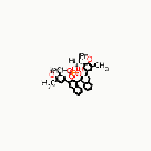 Cc1cc(-c2cc3ccccc3c3c2OP(=O)(O)OC2=C3c3ccccc3CC2c2cc(C)c(OC(C)C)c(C)c2)cc(C)c1OC(C)C